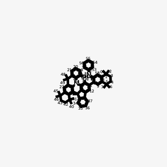 CC1(C)CCC(C)(C)c2cc(-c3cc4c5c6c3Bc3cccc7c3N6c3c(cc6c(c3C5(C)c3ccccc3-4)C(C)(C)CCC6(C)C)C7(C)C)c(Nc3ccccc3)cc21